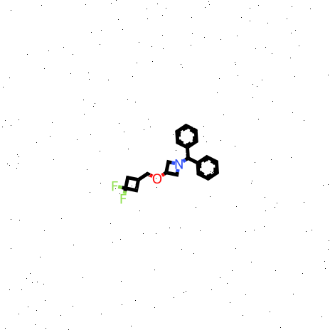 FC1(F)CC(COC2CN(C(c3ccccc3)c3ccccc3)C2)C1